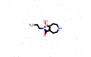 CCCn1c(=O)c2c([o+]1O)CCNCC2